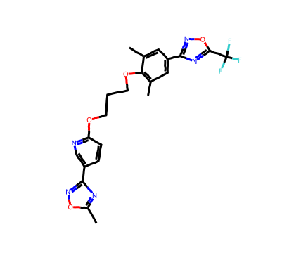 Cc1nc(-c2ccc(OCCCOc3c(C)cc(-c4noc(C(F)(F)F)n4)cc3C)nc2)no1